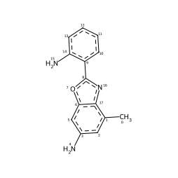 Cc1cc(N)cc2oc(-c3ccccc3N)nc12